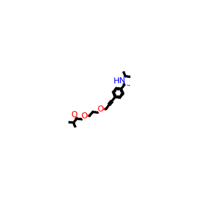 CC(C)N[C@H](C)c1ccc(C#CCOCCCOCC(=O)C(C)C)cc1